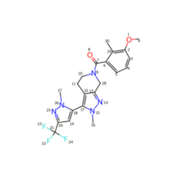 COc1cccc(C(=O)N2CCc3c(nn(C)c3-c3cc(C(F)(F)F)nn3C)C2)c1C